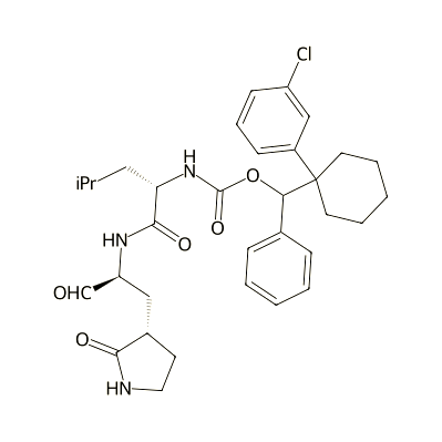 CC(C)C[C@H](NC(=O)OC(c1ccccc1)C1(c2cccc(Cl)c2)CCCCC1)C(=O)N[C@H](C=O)C[C@@H]1CCNC1=O